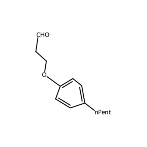 CCCCCc1ccc(OCC[C]=O)cc1